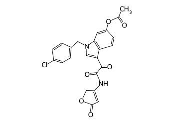 CC(=O)Oc1ccc2c(C(=O)C(=O)NC3=CC(=O)OC3)cn(Cc3ccc(Cl)cc3)c2c1